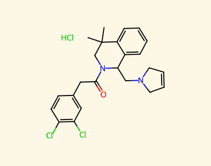 CC1(C)CN(C(=O)Cc2ccc(Cl)c(Cl)c2)C(CN2CC=CC2)c2ccccc21.Cl